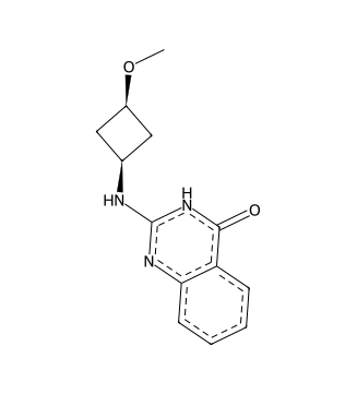 CO[C@H]1C[C@@H](Nc2nc3ccccc3c(=O)[nH]2)C1